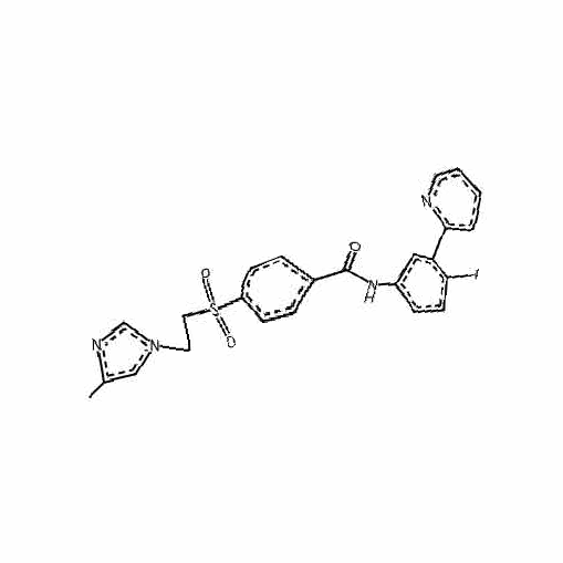 Cc1cn(CCS(=O)(=O)c2ccc(C(=O)Nc3ccc(I)c(-c4ccccn4)c3)cc2)cn1